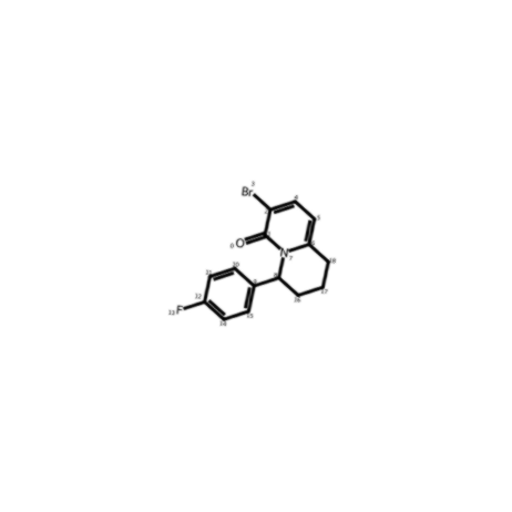 O=c1c(Br)ccc2n1C(c1ccc(F)cc1)CCC2